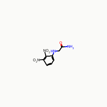 NC(=O)CNc1cccc([N+](=O)[O-])c1[N+](=O)[O-]